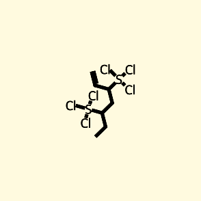 C=CC(CC(CC)S(Cl)(Cl)Cl)S(Cl)(Cl)Cl